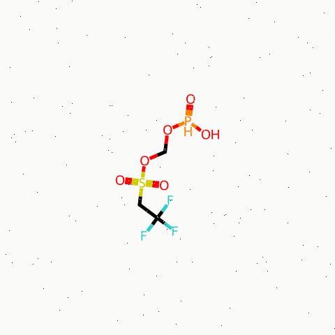 O=[PH](O)OCOS(=O)(=O)CC(F)(F)F